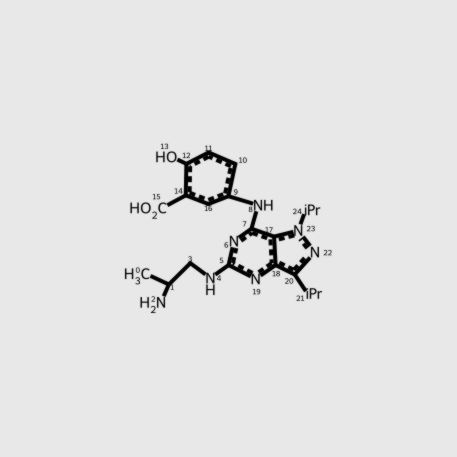 CC(N)CNc1nc(Nc2ccc(O)c(C(=O)O)c2)c2c(n1)c(C(C)C)nn2C(C)C